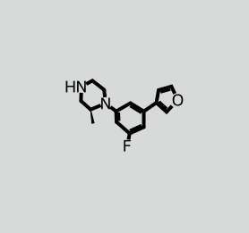 C[C@H]1CNCCN1c1cc(F)cc(-c2ccoc2)c1